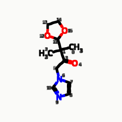 CC(C)(C(=O)Cn1ccnc1)C1OCCO1